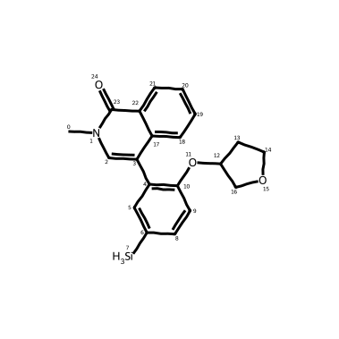 Cn1cc(-c2cc([SiH3])ccc2OC2CCOC2)c2ccccc2c1=O